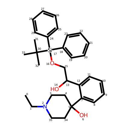 CCN1CCC(O)(c2ccccc2C(O)CO[Si](c2ccccc2)(c2ccccc2)C(C)(C)C)CC1